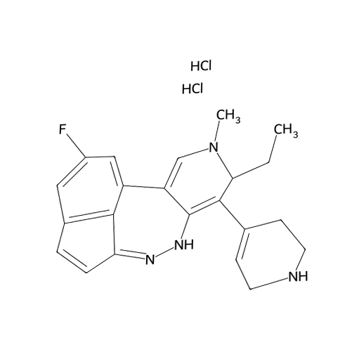 CCC1C(C2=CCNCC2)=C2NN=C3C=Cc4cc(F)cc(c43)C2=CN1C.Cl.Cl